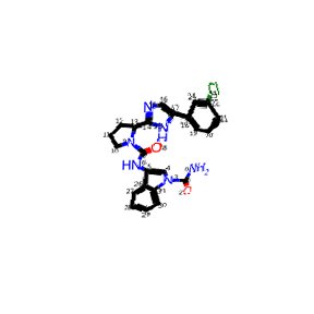 NC(=O)n1cc(NC(=O)N2CCCC2c2ncc(-c3cccc(Cl)c3)[nH]2)c2ccccc21